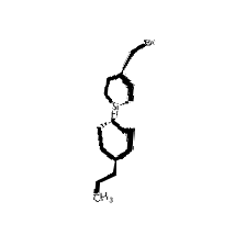 CCC[C@H]1CC[C@H]([Si@H]2CC[C@H](CBr)CC2)CC1